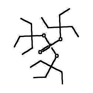 CCC(CC)(CC)OP(=O)(OC(CC)(CC)CC)OC(CC)(CC)CC